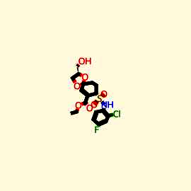 CCOC(=O)C1=CC2(CCC1S(=O)(=O)Nc1ccc(F)cc1Cl)OC[C@H](CO)O2